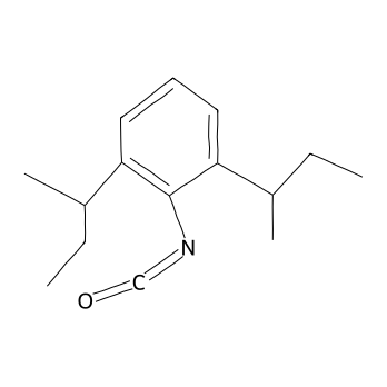 CCC(C)c1cccc(C(C)CC)c1N=C=O